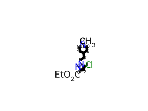 CCOC(=O)c1cc(Cl)n(CCC2CCN(C)CC2)n1